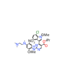 COc1cc(N(C)CCN(C)C)c([N+](=O)[O-])cc1Nc1ncc(C(=O)OC(C)C)c(-c2cn(OC)c3c(Cl)cccc23)n1